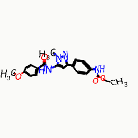 CCOC(=O)Nc1ccc(-c2cc(NC(=O)c3ccc(OC)cc3)n(C)n2)cc1